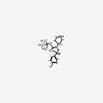 CC(C)(C)OC(=O)N(CC(F)(F)c1ccc(F)cc1)C1CCNCC1